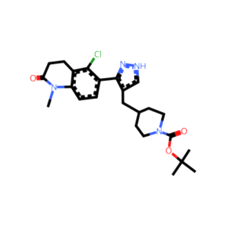 CN1C(=O)CCc2c1ccc(-c1n[nH]cc1CC1CCN(C(=O)OC(C)(C)C)CC1)c2Cl